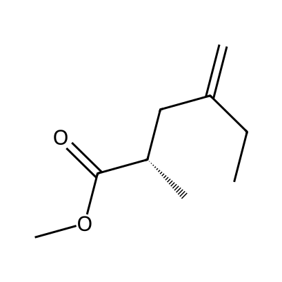 C=C(CC)C[C@H](C)C(=O)OC